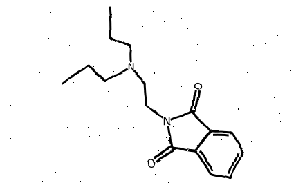 CCCN(CCC)CCN1C(=O)c2ccccc2C1=O